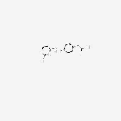 O=C(O)Cc1ccc(NCc2ccnc(Cl)n2)cc1